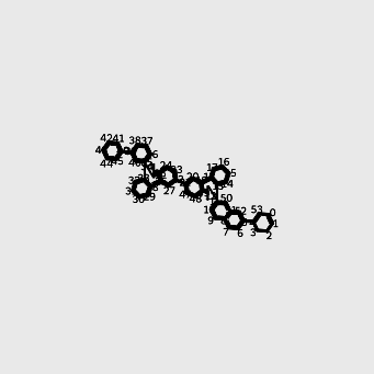 C1=CCCC(c2ccc3ccc(-n4c5ccccc5c5cc(-c6ccc7c(c6)c6ccccc6n7-c6cccc(-c7ccccc7)c6)ccc54)cc3c2)=C1